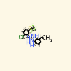 CCc1cccc(NC(=N)Nc2cc(SC(F)(F)F)ccc2Cl)c1